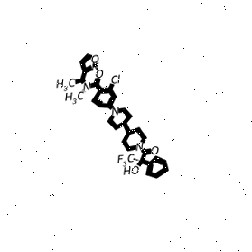 CC(c1ccon1)N(C)C(=O)c1ccc(N2CCC(C3CCN(C(=O)[C@](O)(c4ccccc4)C(F)(F)F)CC3)CC2)cc1Cl